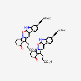 CCCCCCC#Cc1ccc2c(c1)NC(=O)C2=Cc1[nH]c2c(c1CCC(=O)O)C(=O)CCC2.CCCCCCC#Cc1ccc2c(c1)NC(=O)C2=Cc1[nH]c2c(c1CCC(=O)O)C(=O)CCC2